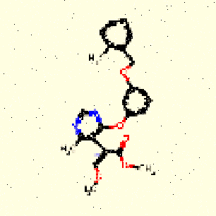 CO/C=C(\C(=O)OC)c1c(C)ncnc1Oc1cccc(OCc2ccccc2C)c1